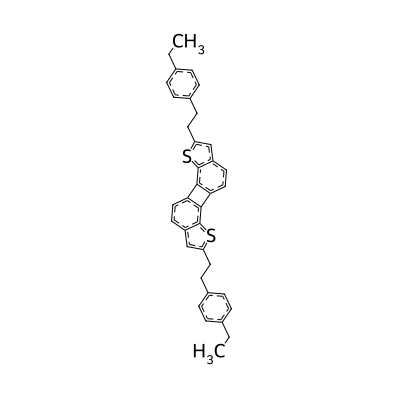 CCc1ccc(CCc2cc3ccc4c(c3s2)-c2ccc3cc(CCc5ccc(CC)cc5)sc3c2-4)cc1